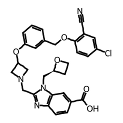 N#Cc1cc(Cl)ccc1OCc1cccc(OC2CN(Cc3nc4ccc(C(=O)O)cc4n3C[C@@H]3CCO3)C2)c1